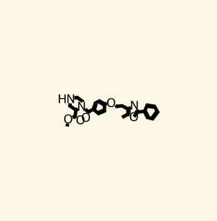 COC(=O)C1CNCCN1C(=O)c1ccc(OCCc2nc(-c3ccccc3)oc2C)cc1